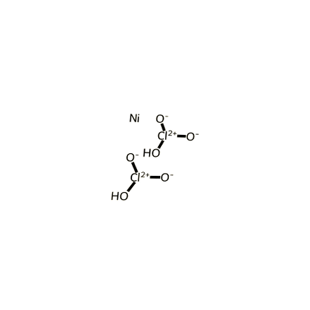 [Ni].[O-][Cl+2]([O-])O.[O-][Cl+2]([O-])O